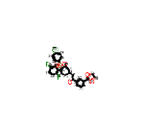 O=C(CC1CCC(c2cc(F)ccc2F)(S(=O)(=O)c2ccc(Cl)cc2)CC1)c1cccc(C2OCCO2)c1